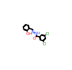 O=C(N/N=C/c1ccccc1O)c1cc(Cl)cc(Cl)c1